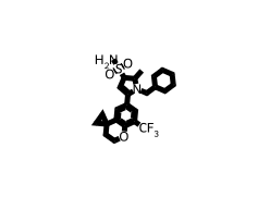 CC1C(S(N)(=O)=O)C=C(c2cc(C(F)(F)F)c3c(c2)C2(CCO3)CC2)N1CC1CCCCC1